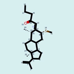 C=C(C)C1CCC2C3C[C@@H](SC)/C(=C/C(=O)CCC)[C@@H](C)C3CC[C@]12C